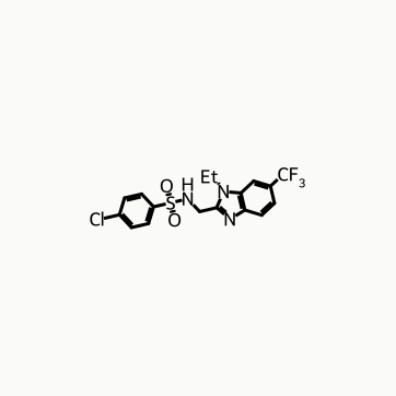 CCn1c(CNS(=O)(=O)c2ccc(Cl)cc2)nc2ccc(C(F)(F)F)cc21